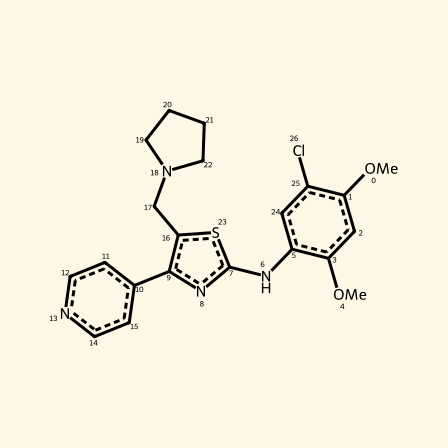 COc1cc(OC)c(Nc2nc(-c3ccncc3)c(CN3CCCC3)s2)cc1Cl